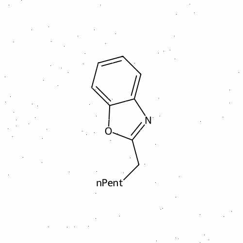 CCCCCCc1nc2ccccc2o1